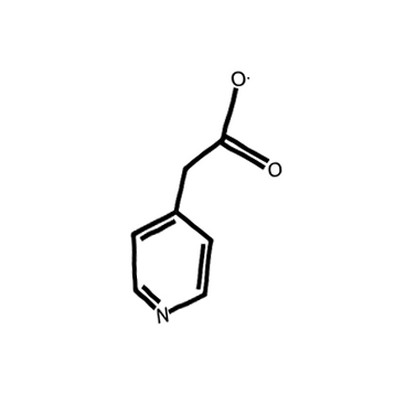 [O]C(=O)Cc1ccncc1